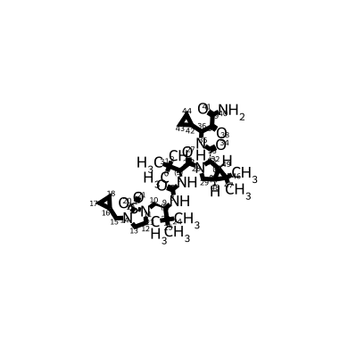 CC(C)(C)[C@H](NC(=O)N[C@H](CN1CCN(CC2CC2)S1(=O)=O)C(C)(C)C)C(=O)N1C[C@H]2[C@@H]([C@H]1C(=O)NC(C(=O)C(N)=O)C1CC1)C2(C)C